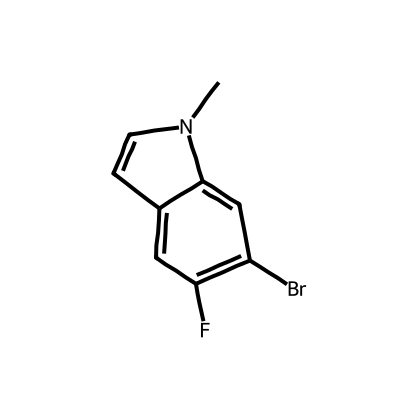 Cn1ccc2cc(F)c(Br)cc21